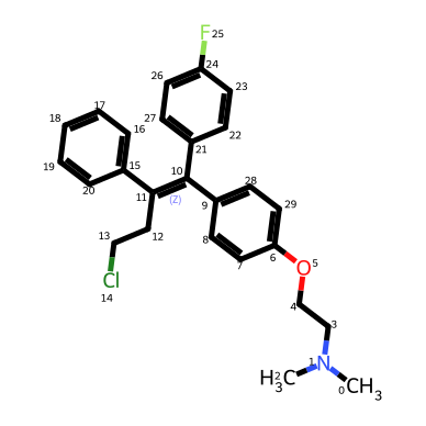 CN(C)CCOc1ccc(/C(=C(\CCCl)c2ccccc2)c2ccc(F)cc2)cc1